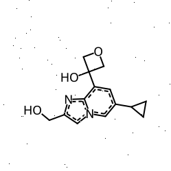 OCc1cn2cc(C3CC3)cc(C3(O)COC3)c2n1